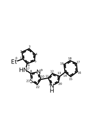 CCc1ccccc1Nc1nc(-c2cc(-c3ccccc3)c[nH]2)cs1